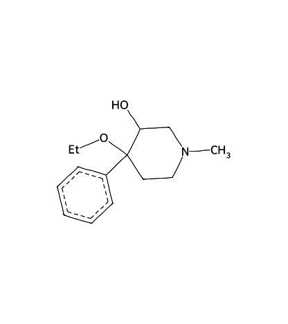 CCOC1(c2ccccc2)CCN(C)CC1O